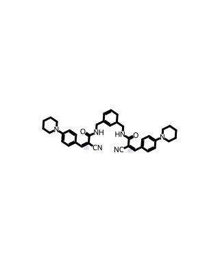 N#C/C(=C/c1ccc(N2CCCCC2)cc1)C(=O)NCC1=CC(CNC(=O)/C(C#N)=C\c2ccc(N3CCCCC3)cc2)CC=C1